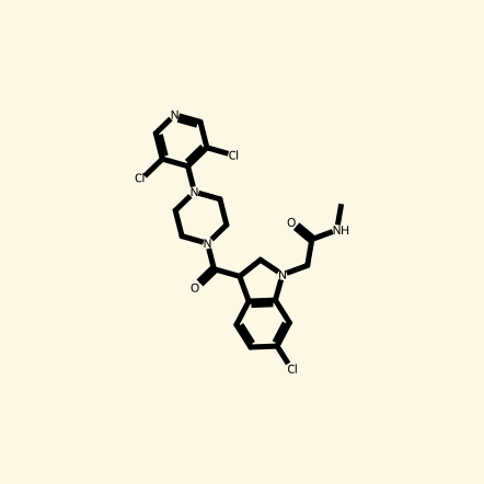 CNC(=O)CN1CC(C(=O)N2CCN(c3c(Cl)cncc3Cl)CC2)c2ccc(Cl)cc21